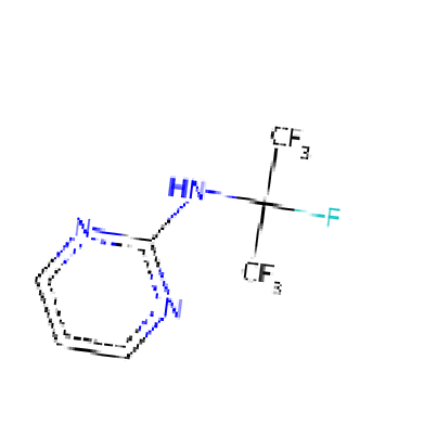 FC(F)(F)C(F)(Nc1ncccn1)C(F)(F)F